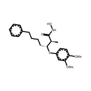 COc1ccc(S[C@H](CCCCc2ccccc2)[C@H](C)C(=O)NO)cc1OC